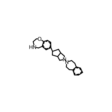 c1ccc2c(c1)CCN(N1CC3CC(c4ccc5c(c4)CNCCO5)CC3C1)CC2